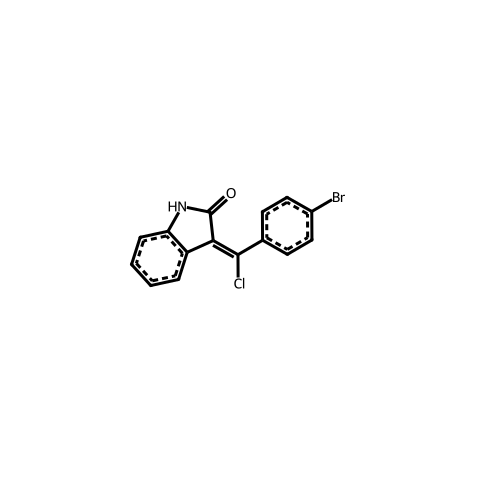 O=C1Nc2ccccc2C1=C(Cl)c1ccc(Br)cc1